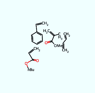 C=C(C)C(=O)OC.C=CC(=O)OCCCC.C=CC=C.C=Cc1ccccc1